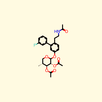 CC(=O)NCCc1ccc(OC2OC[C@@H](C)[C@H](OC(C)=O)[C@H]2OC(C)=O)cc1-c1cccc(F)c1